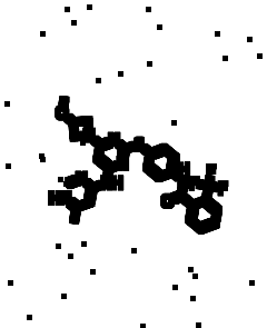 C=N/C(=C\C(C)=N)Nc1cc(N2CC(OC)C2)nc(Sc2ccc(NC(=O)c3ccccc3C(F)(F)F)cc2)n1